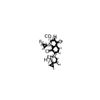 CCN(C[C@@H](C)C1(N)CC1)c1ccc2c(=O)c(C(=O)O)cn([C@@H]3C[C@@H]3F)c2c1Cl